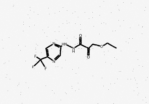 CCOCC(=O)C(=O)NNc1cnc(C(F)(F)F)cn1